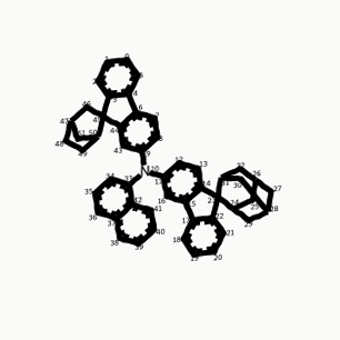 c1ccc2c(c1)-c1ccc(N(c3ccc4c(c3)-c3ccccc3C43C4CC5CC(C4)CC3C5)c3cccc4ccccc34)cc1C21CC2CCC1C2